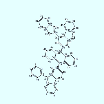 c1ccc(-n2c3ccccc3c3ccc(-c4c5ccccc5c(-c5cc(-c6nc7ccccc7s6)c6c(c5)oc5ccccc56)c5ccccc45)cc32)cc1